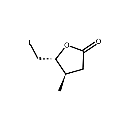 C[C@@H]1CC(=O)O[C@H]1CI